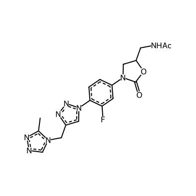 CC(=O)NCC1CN(c2ccc(-n3cc(Cn4cnnc4C)nn3)c(F)c2)C(=O)O1